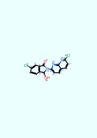 O=C1c2cc(Cl)ccc2C(O)N1c1ccc2ccc(Cl)nc2n1